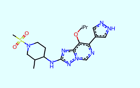 CC(C)Oc1c(-c2cn[nH]c2)ncn2nc(NC3CCN(S(C)(=O)=O)CC3C)nc12